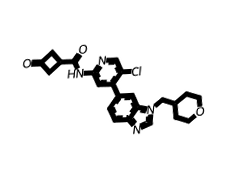 O=C1CC(C(=O)Nc2cc(-c3ccc4ncn(CC5CCOCC5)c4c3)c(Cl)cn2)C1